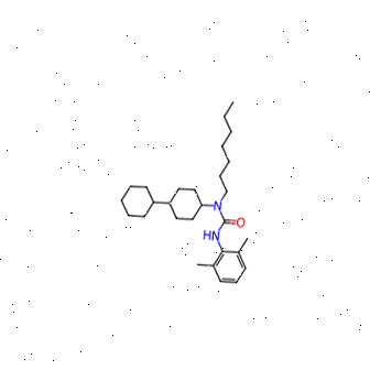 CCCCCCCN(C(=O)Nc1c(C)cccc1C)C1CCC(C2CCCCC2)CC1